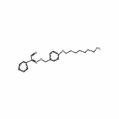 CCCCCCCCOc1ccc(CO/N=C(\[C]=O)c2ccccc2)cc1